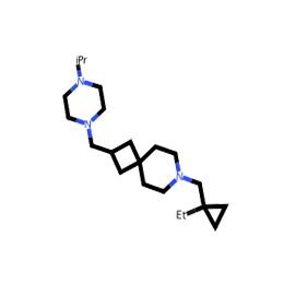 CCC1(CN2CCC3(CC2)CC(CN2CCN(C(C)C)CC2)C3)CC1